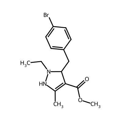 CCN1NC(C)=C(C(=O)OC)C1Cc1ccc(Br)cc1